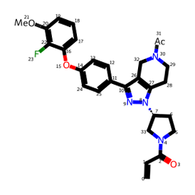 C=CC(=O)N1CC[C@@H](n2nc(-c3ccc(Oc4cccc(OC)c4F)cc3)c3c2CCN(C(C)=O)C3)C1